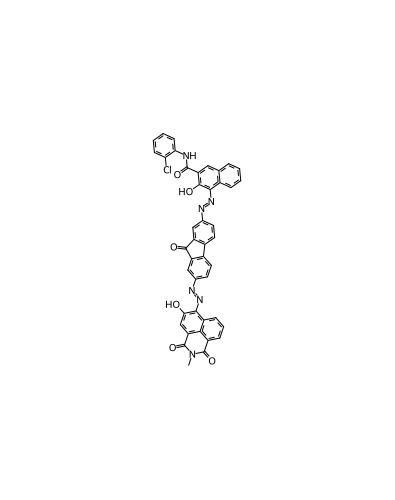 CN1C(=O)c2cccc3c(N=Nc4ccc5c(c4)C(=O)c4cc(N=Nc6c(O)c(C(=O)Nc7ccccc7Cl)cc7ccccc67)ccc4-5)c(O)cc(c23)C1=O